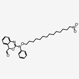 O=CC1OC(N(OCCCCCCCCCCCCCC[N+](=O)[O-])c2ccccc2)=Nc2ccccc21